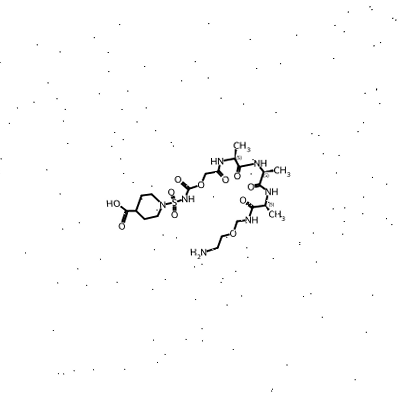 C[C@H](NC(=O)COC(=O)NS(=O)(=O)N1CCC(C(=O)O)CC1)C(=O)N[C@@H](C)C(=O)N[C@@H](C)C(=O)NCOCCN